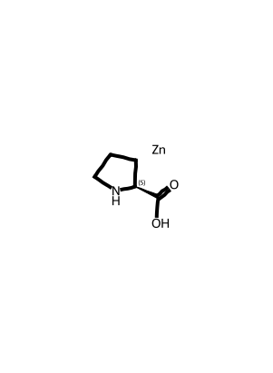 O=C(O)[C@@H]1CCCN1.[Zn]